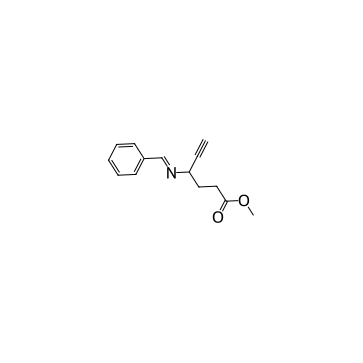 C#CC(CCC(=O)OC)N=Cc1ccccc1